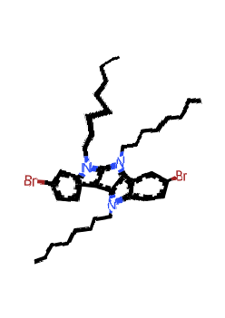 CCCCCCCCn1c2ccc(Br)cc2c2c1c1c3ccc(Br)cc3n(CCCCCCCC)c1n2CCCCCCCC